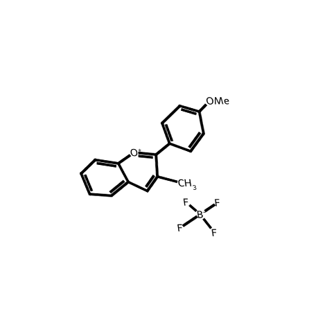 COc1ccc(-c2[o+]c3ccccc3cc2C)cc1.F[B-](F)(F)F